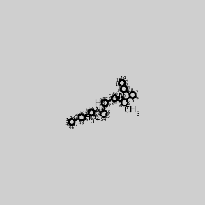 CC1C=C2c3ccccc3-c3cc4ccccc4cc3-n3c2c(c2cc(-c4cccc(C5=C(Nc6ccc(-c7ccc(-c8ccccc8)cc7)cc6)C(C)CC=C5)c4)ccc23)C1